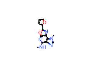 CNc1nc2oc(-c3ccco3)nc2c2c1ncn2C